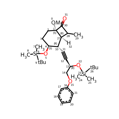 CO[C@@]12CC[C@H](O[Si](C)(C)C(C)(C)C)[C@@H](C#C[C@H](COc3ccccc3)O[Si](C)(C)C(C)(C)C)[C@@H]1C(C)C2=O